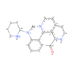 CC(=O)N(c1cccc2c1-c1nccc3ccnc(c13)C2=O)C1CCCCN1